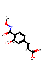 CONC(=O)c1ccc(/C=C/C(=O)O)cc1O